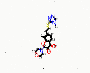 Cc1c(CCSc2nncn2C)ccc2c1OC(N1CCOCC1)C(=O)C2=O